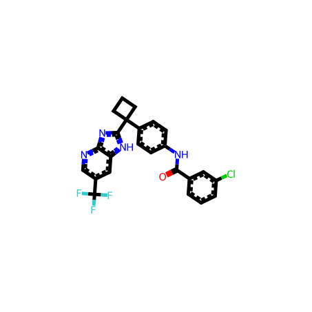 O=C(Nc1ccc(C2(c3nc4ncc(C(F)(F)F)cc4[nH]3)CCC2)cc1)c1cccc(Cl)c1